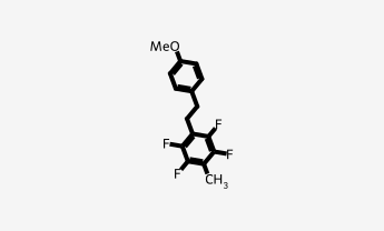 COc1ccc(CCc2c(F)c(F)c(C)c(F)c2F)cc1